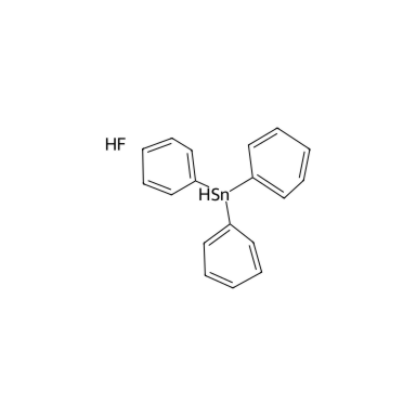 F.c1cc[c]([SnH]([c]2ccccc2)[c]2ccccc2)cc1